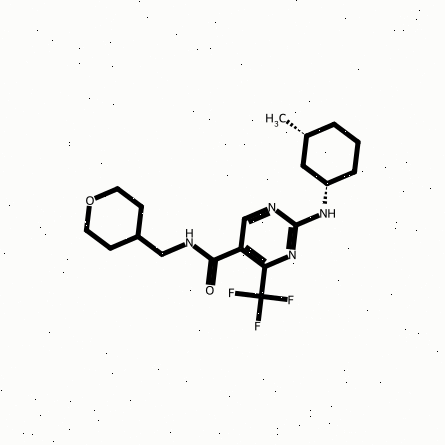 C[C@@H]1CCC[C@H](Nc2ncc(C(=O)NCC3CCOCC3)c(C(F)(F)F)n2)C1